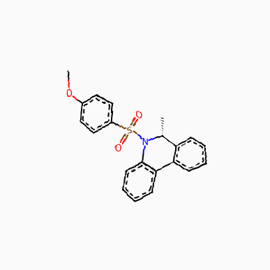 COc1ccc(S(=O)(=O)N2c3ccccc3-c3ccccc3[C@H]2C)cc1